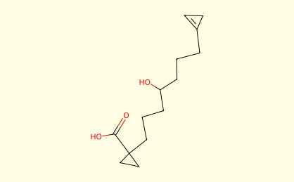 O=C(O)C1(CCCC(O)CCCC2=CC2)CC1